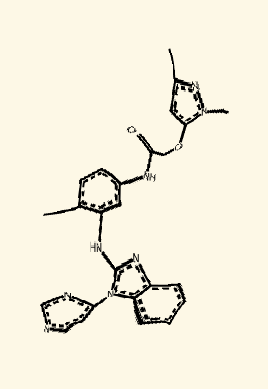 Cc1cc(OC(=O)Nc2ccc(C)c(Nc3nc4ccccc4n3-c3ccncn3)c2)n(C)n1